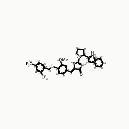 COc1cc(C=C2SC(N3CCCC3c3cc4ccccc4[nH]3)=NC2=O)ccc1OCc1ccc(C(F)(F)F)cc1C(F)(F)F